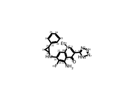 CCn1cc(-c2nnn[nH]2)c(=O)c2c(N)c(F)c(NC3CC3c3ccccc3)cc21